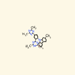 Cc1ccc2c3ccccc3n(-c3ccc(-c4nc(C)nc(C)n4)cc3-c3nc(C)nc(C)n3)c2c1